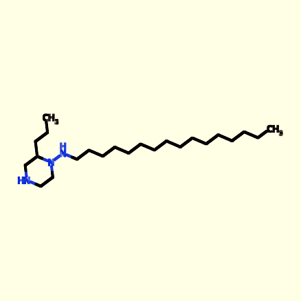 CCCCCCCCCCCCCCCCNN1CCNCC1CCC